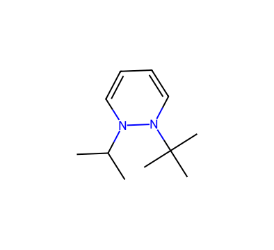 CC(C)N1C=CC=CN1C(C)(C)C